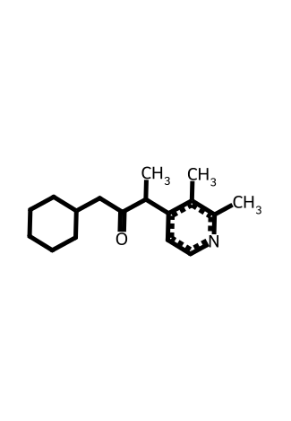 Cc1nccc(C(C)C(=O)CC2CCCCC2)c1C